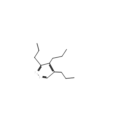 CCCc1cbnc(CCC)c1CCC